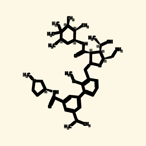 COc1c(CN2O[C@@H](CN)[C@@H]([C@H](C)O)[C@H]2C(=O)N[C@H]2C[C@@H](C)C(C)(C)[C@@H](C)[C@@H]2C)cccc1-c1cc(C(=O)N[C@@H]2CCN(C)C2)cc(N(C)C)c1